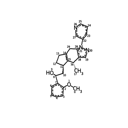 COc1ccccc1C(O)C[C@H]1CCC2=C1[C@@H](C)c1cnn(-c3cccnc3)c1C2